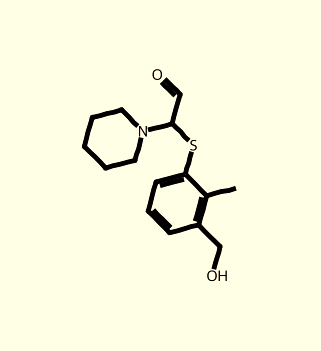 Cc1c(CO)cccc1SC(C=O)N1CCCCC1